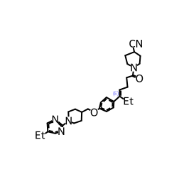 CC/C(=C\CCC(=O)N1CCC(C#N)CC1)c1ccc(OCC2CCN(c3ncc(CC)cn3)CC2)cc1